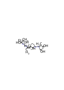 C=C1/C(=C/C=C2\CCC[C@]3(C)[C@@H]([C@H](C)/C=C/C=C/[C@](O)(CC)[C@H](C)O)CC[C@@H]23)C[C@@H](O)C[C@@H]1O